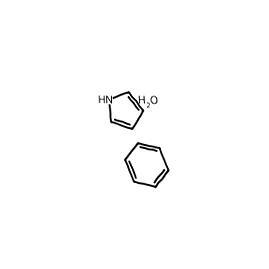 O.c1cc[nH]c1.c1ccccc1